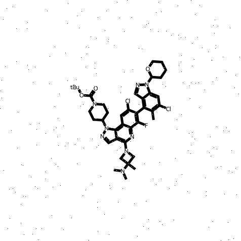 Cc1c(Cl)cc2c(cnn2C2CCCCO2)c1-c1c(Cl)cc2c(nc(N3CC(C)(N(C)C)C3)c3cnn(C4CCN(C(=O)OC(C)(C)C)CC4)c32)c1F